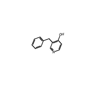 Oc1ccncc1Cc1ccccc1